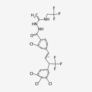 C=C(NCC(F)(F)F)NNC(=O)c1ccc(/C=C/C(c2cc(Cl)c(Cl)c(Cl)c2)C(F)(F)F)cc1Cl